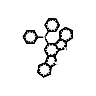 c1ccc(N(c2ccccc2)c2cc3c4ccccc4oc3c3oc4ccccc4c23)cc1